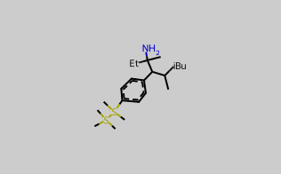 CCC(C)C(C)C(c1ccc(S(C)(C)S(C)(C)C)cc1)C(C)(N)CC